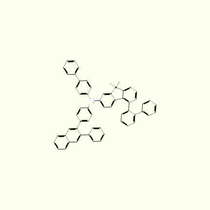 CC1(C)c2cc(N(c3ccc(-c4ccccc4)cc3)c3ccc(-c4cc5ccccc5cc4-c4ccccc4)cc3)ccc2-c2c(-c3ccccc3-c3ccccc3)cccc21